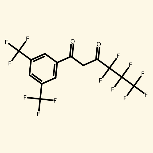 O=C(CC(=O)C(F)(F)C(F)(F)C(F)(F)F)c1cc(C(F)(F)F)cc(C(F)(F)F)c1